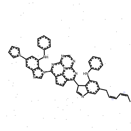 C/C=C\C=C/Cc1cc2c(c(Nc3ccccc3)c1)C(c1nc3ncnc4nc(-n5cnc6cc(-n7cccc7)cc(Nc7ccccc7)c65)c5ccc1c5n34)C=N2